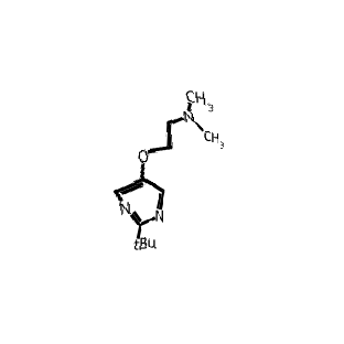 CN(C)CCOc1cnc(C(C)(C)C)nc1